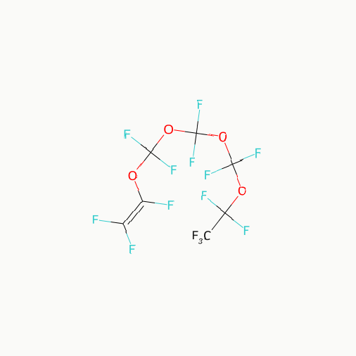 FC(F)=C(F)OC(F)(F)OC(F)(F)OC(F)(F)OC(F)(F)C(F)(F)F